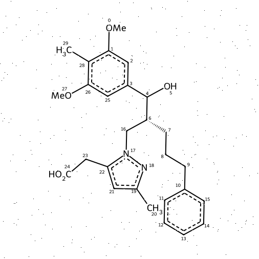 COc1cc(C(O)[C@H](CCCc2ccccc2)Cn2nc(C)cc2CC(=O)O)cc(OC)c1C